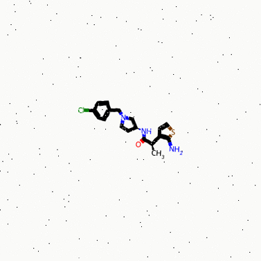 C[C@@H](C(=O)N[C@@H]1CCN(Cc2ccc(Cl)cc2)C1)c1ccsc1N